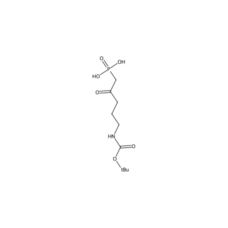 CC(C)(C)OC(=O)NCCCC(=O)CP(=O)(O)O